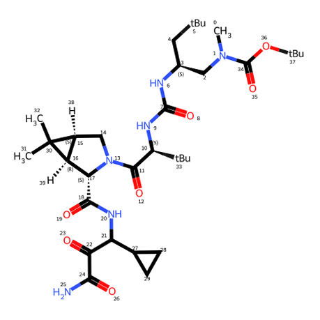 CN(C[C@H](CC(C)(C)C)NC(=O)N[C@H](C(=O)N1C[C@H]2[C@@H]([C@H]1C(=O)NC(C(=O)C(N)=O)C1CC1)C2(C)C)C(C)(C)C)C(=O)OC(C)(C)C